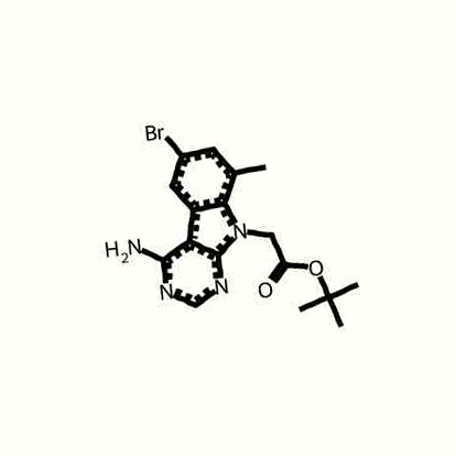 Cc1cc(Br)cc2c3c(N)ncnc3n(CC(=O)OC(C)(C)C)c12